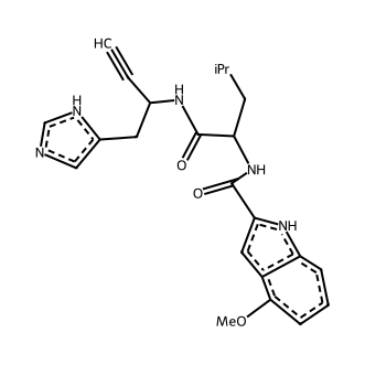 C#CC(Cc1cnc[nH]1)NC(=O)C(CC(C)C)NC(=O)c1cc2c(OC)cccc2[nH]1